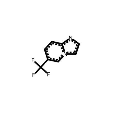 FC(F)(F)c1ccc2n[c]cn2c1